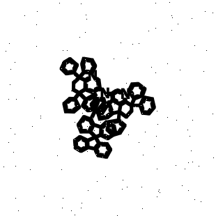 c1ccc(C2(c3ccccc3)CCC(c3ccccc3)(c3ccccc3)c3c2ncc2c3c3cc(-c4cccc5c4-c4ccccc4C54c5ccccc5-c5ccccc54)cc4c5c6c(ncc5n2c34)C(c2ccccc2)(c2ccccc2)CCC6(c2ccccc2)c2ccccc2)cc1